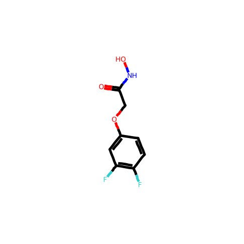 O=C(COc1ccc(F)c(F)c1)NO